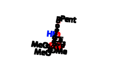 CCCCC[C@H]1CC[C@H](c2ccc(-c3ccc(C(=O)Nc4ccc(-c5ccc6c7c(c8c(=O)oc(C(c9ccccc9)c9ccccc9)cc8c6c5)C=CC(c5ccc(OC)cc5)(c5ccc(OC)cc5OC)O7)c(C(F)(F)F)c4)cc3)cc2)CC1